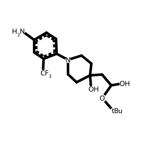 CC(C)(C)OC(O)CC1(O)CCN(c2ccc(N)cc2C(F)(F)F)CC1